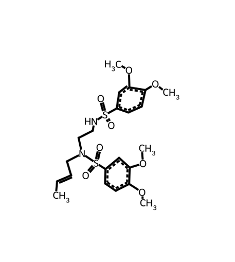 CC=CCN(CCNS(=O)(=O)c1ccc(OC)c(OC)c1)S(=O)(=O)c1ccc(OC)c(OC)c1